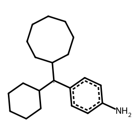 Nc1ccc([C](C2CCCCCCC2)C2CCCCC2)cc1